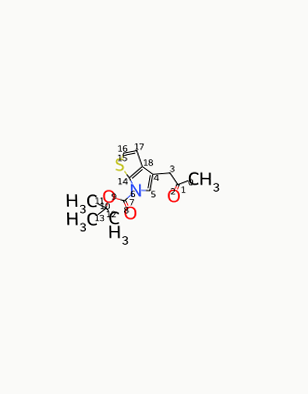 CC(=O)Cc1cn(C(=O)OC(C)(C)C)c2sccc12